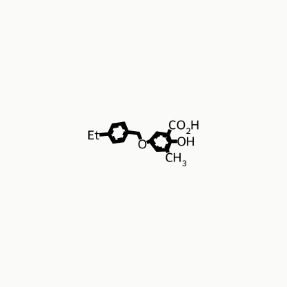 CCc1ccc(COc2cc(C)c(O)c(C(=O)O)c2)cc1